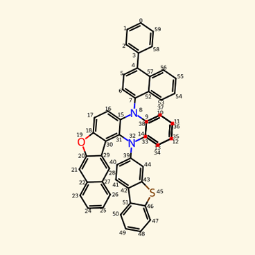 c1ccc(-c2ccc(N(c3ccccc3)c3ccc4oc5cc6ccccc6cc5c4c3N(c3ccccc3)c3ccc4c(c3)sc3ccccc34)c3ccccc23)cc1